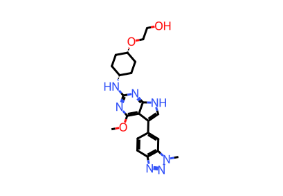 COc1nc(N[C@H]2CC[C@@H](OCCO)CC2)nc2[nH]cc(-c3ccc4nnn(C)c4c3)c12